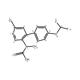 CN(C(=O)O)c1nnc(Cl)cc1-c1ccc(OC(F)F)cc1